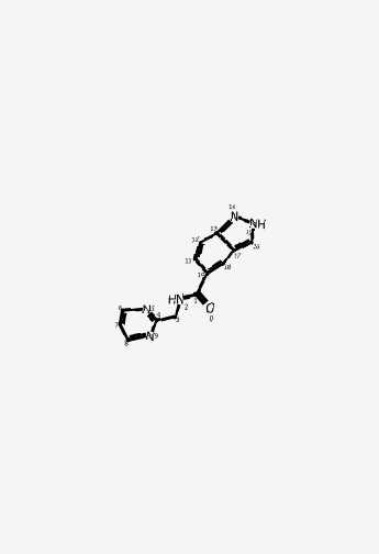 O=C(NCc1ncccn1)c1ccc2n[nH]cc2c1